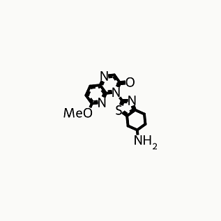 COc1ccc2ncc(=O)n(-c3nc4c(s3)CC(N)CC4)c2n1